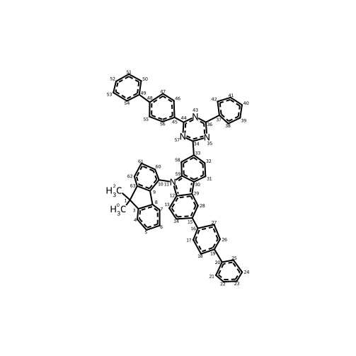 CC1(C)c2ccccc2-c2c(-n3c4ccc(-c5ccc(-c6ccccc6)cc5)cc4c4ccc(-c5nc(-c6ccccc6)nc(-c6ccc(-c7ccccc7)cc6)n5)cc43)cccc21